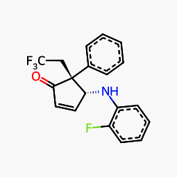 O=C1C=C[C@@H](Nc2ccccc2F)[C@@]1(CC(F)(F)F)c1ccccc1